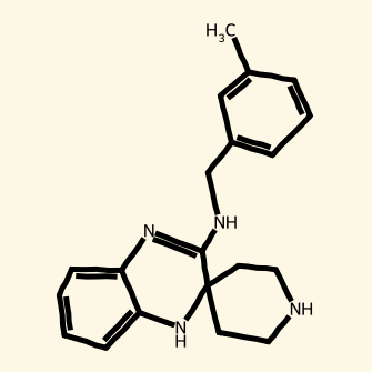 Cc1cccc(CNC2=Nc3ccccc3NC23CCNCC3)c1